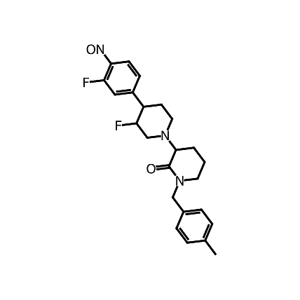 Cc1ccc(CN2CCCC(N3CCC(c4ccc(N=O)c(F)c4)C(F)C3)C2=O)cc1